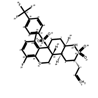 C=CC[C@@H]1C[C@@H]2[C@@H](CC[C@@]3(S(=O)(=O)c4ccc(C(F)(F)F)cc4)c4c(F)ccc(F)c4OC[C@@H]23)NS1(=O)=O